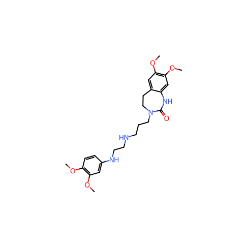 COc1ccc(NCCNCCCN2CCc3cc(OC)c(OC)cc3NC2=O)cc1OC